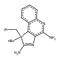 CCCC[N+]1(CC(C)C)C(N)=Nc2c(N)nc3ccccc3c21